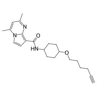 C#CCCCCOC1CCC(NC(=O)c2ccn3c(C)cc(C)nc23)CC1